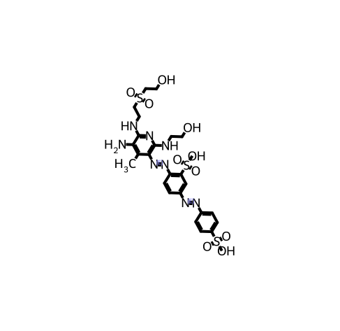 Cc1c(N)c(NCCS(=O)(=O)CCO)nc(NCCO)c1/N=N/c1ccc(/N=N/c2ccc(S(=O)(=O)O)cc2)cc1S(=O)(=O)O